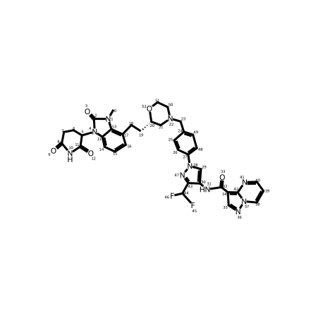 Cn1c(=O)n(C2CCC(=O)NC2=O)c2cccc(CC[C@H]3CN(Cc4ccc(-n5cc(NC(=O)c6cnn7cccnc67)c(C(F)F)n5)cc4)CCO3)c21